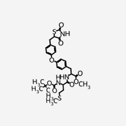 COC(=O)C(Cc1ccc(Oc2ccc(CC3SC(=O)NC3=O)cc2)cc1)NC(=O)C(CCSC)NC(=O)OC(C)(C)C